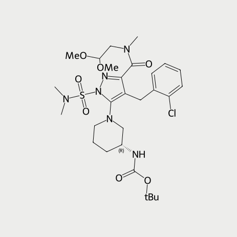 COC(CN(C)C(=O)c1nn(S(=O)(=O)N(C)C)c(N2CCC[C@@H](NC(=O)OC(C)(C)C)C2)c1Cc1ccccc1Cl)OC